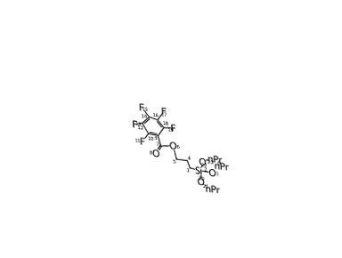 CCCO[Si](CCCOC(=O)c1c(F)c(F)c(F)c(F)c1F)(OCCC)OCCC